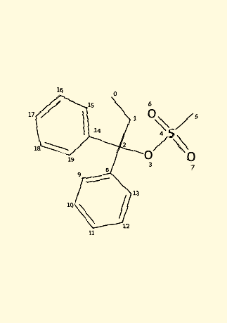 CCC(OS(C)(=O)=O)(c1ccccc1)c1ccccc1